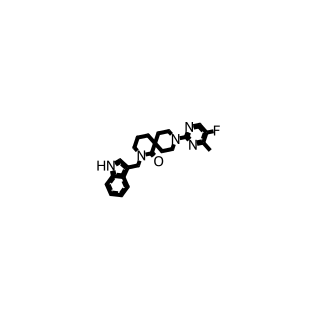 Cc1nc(N2CCC3(CCCN(Cc4c[nH]c5ccccc45)C3=O)CC2)ncc1F